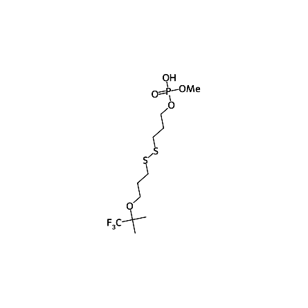 COP(=O)(O)OCCCSSCCCOC(C)(C)C(F)(F)F